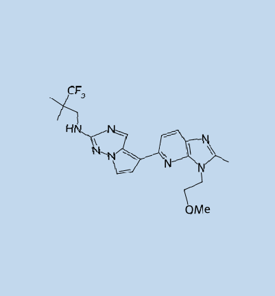 COCCn1c(C)nc2ccc(-c3ccn4nc(NCC(C)(C)C(F)(F)F)ncc34)nc21